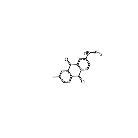 BBc1ccc2c(c1)C(=O)c1cc(C)ccc1C2=O